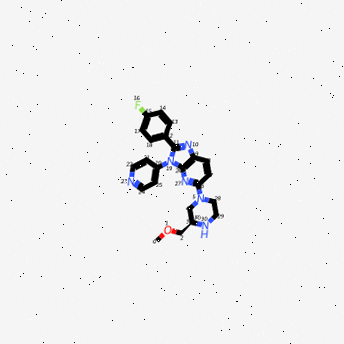 COC[C@H]1CN(c2ccc3nc(-c4ccc(F)cc4)n(-c4ccncc4)c3n2)CCN1